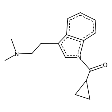 CN(C)CCc1cn(C(=O)C2CC2)c2ccccc12